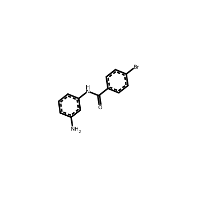 Nc1cccc(NC(=O)c2ccc(Br)cc2)c1